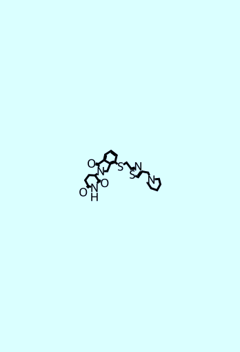 O=C1CCC(N2Cc3c(SCc4nc(CN5CCCCC5)cs4)cccc3C2=O)C(=O)N1